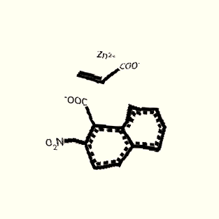 C=CC(=O)[O-].O=C([O-])c1c([N+](=O)[O-])ccc2ccccc12.[Zn+2]